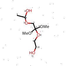 COC(COC(C)O)(OC)OCCO